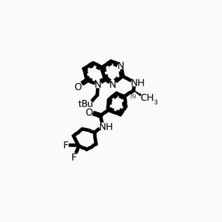 C[C@H](Nc1ncc2ccc(=O)n(CC(C)(C)C)c2n1)c1ccc(C(=O)NC2CCC(F)(F)CC2)cc1